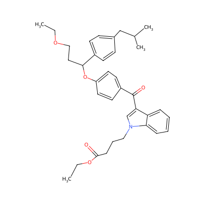 CCOCCC(Oc1ccc(C(=O)c2cn(CCCC(=O)OCC)c3ccccc23)cc1)c1ccc(CC(C)C)cc1